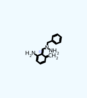 C=c1cccc(N)/c1=C/N(N)Cc1ccccc1